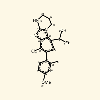 CCC(O)c1cc(-c2ccc(OC)nc2C)c(Cl)c2nc3n(c12)CCCN3